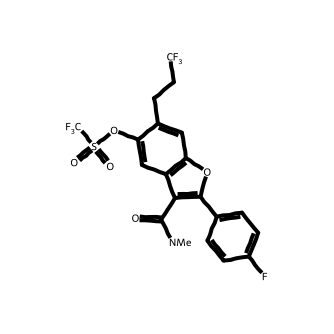 CNC(=O)c1c(-c2ccc(F)cc2)oc2cc(CCC(F)(F)F)c(OS(=O)(=O)C(F)(F)F)cc12